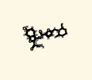 CC1CCCC(C)N1Cc1ccc(C(=O)Nc2c(C(N)=O)oc3cc(Cl)ccc23)o1